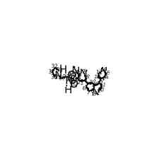 Nc1ncc(-c2ccc3nccc(-c4ccncc4)c3c2)cc1S(=O)(=O)NCCN1CCCC1